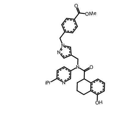 COC(=O)c1ccc(Cn2cc(CN(C(=O)C3CCCc4c(O)cccc43)c3ccc(C(C)C)nc3)cn2)cc1